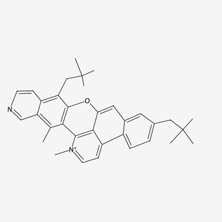 Cc1c2c(c(CC(C)(C)C)c3ccncc13)Oc1cc3cc(CC(C)(C)C)ccc3c3cc[n+](C)c-2c13